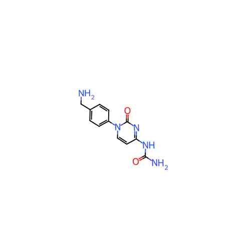 NCc1ccc(-n2ccc(NC(N)=O)nc2=O)cc1